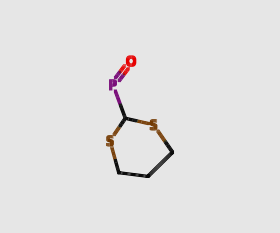 O=PC1SCCCS1